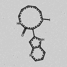 O=c1[nH]cccccc(I)cc1-c1cc2ncccc2[nH]1